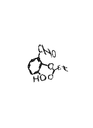 [CH2]CC(=O)Oc1c(O)cccc1C=O